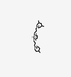 CC1CCN(CCCN2[C]N(CCCN3CC(C)CC(C)C3)CC2)CC1